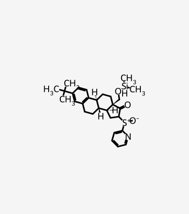 C[SiH](C)OC[C@]12CC[C@@H]3c4ccc(C(C)(C)C)cc4CC[C@H]3[C@@H]1CC([S+]([O-])c1ccccn1)C2=O